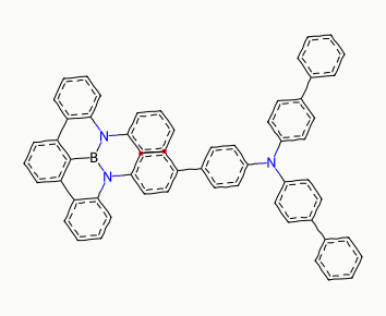 c1ccc(-c2ccc(N(c3ccc(-c4ccccc4)cc3)c3ccc(-c4ccc(N5B6c7c(cccc7-c7ccccc75)-c5ccccc5N6c5ccccc5)cc4)cc3)cc2)cc1